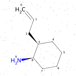 C=CC[C@H]1CCCC[C@H]1N